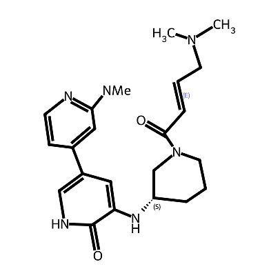 CNc1cc(-c2c[nH]c(=O)c(N[C@H]3CCCN(C(=O)/C=C/CN(C)C)C3)c2)ccn1